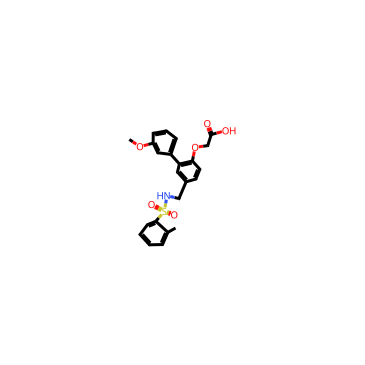 COc1cccc(-c2cc(CNS(=O)(=O)c3ccccc3C)ccc2OCC(=O)O)c1